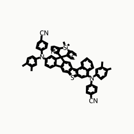 Cc1ccc(N(c2ccc(C#N)cc2)c2ccc3c(c2)C2(c4cc5c(cc4-3)sc3cc(N(c4ccc(C#N)cc4)c4ccc(C)c(C)c4)c4ccccc4c35)c3ccccc3[Si](C)(C)c3cccnc32)cc1C